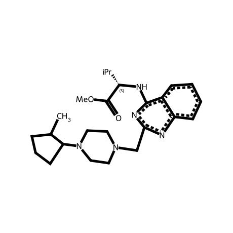 COC(=O)[C@@H](Nc1nc(CN2CCN(C3CCCC3C)CC2)nc2ccccc12)C(C)C